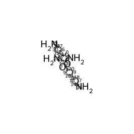 Cc1c(N)c(OC(=O)C2CCC(C3CCC(N)CC3)CC2)cc(N)c1C1CCC(N)CC1